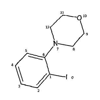 Ic1ccccc1N1CCOCC1